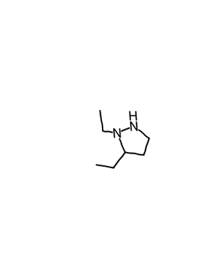 CCC1CCNN1CC